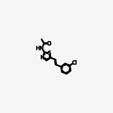 CC(=O)Nc1ncc(C=Cc2cccc(Cl)c2)s1